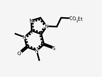 CCOC(=O)CCn1cnc2c1c(=S)n(C)c(=O)n2C